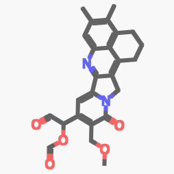 COCc1c(C(C=O)OC=O)cc2n(c1=O)Cc1c-2nc2cc(C)c(C)c3c2c1CCC3